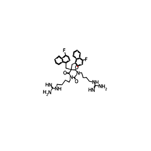 N=C(N)NCCCCN1C(=O)N(CCCCNC(=N)N)C(=O)C(Cc2ccc(F)c3ccccc23)(Cc2ccc(F)c3ccccc23)C1=O